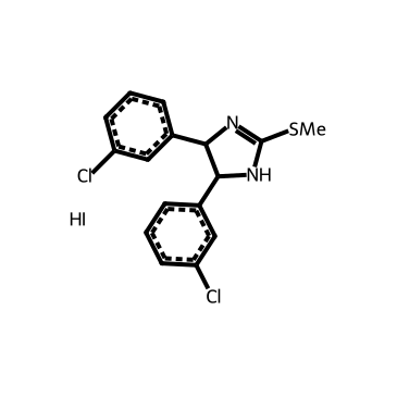 CSC1=NC(c2cccc(Cl)c2)C(c2cccc(Cl)c2)N1.I